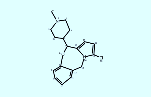 CN1CCC(C2Oc3ccccc3Cn3c(Cl)ccc32)CC1